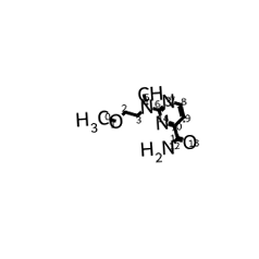 COCCN(C)c1nc[c]c(C(N)=O)n1